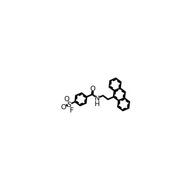 O=C(NCCc1c2ccccc2cc2ccccc12)c1ccc(S(=O)(=O)F)cc1